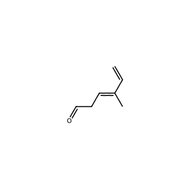 C=CC(C)=CCC=O